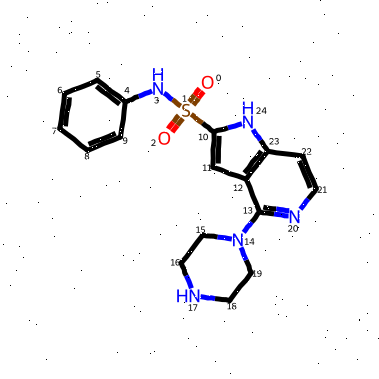 O=S(=O)(Nc1ccccc1)c1cc2c(N3CCNCC3)nccc2[nH]1